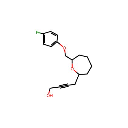 OCC#CCC1CCCCC(COc2ccc(F)cc2)O1